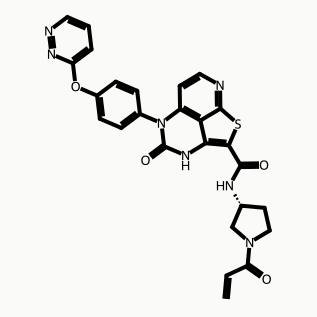 C=CC(=O)N1CC[C@@H](NC(=O)c2sc3nccc4c3c2NC(=O)N4c2ccc(Oc3cccnn3)cc2)C1